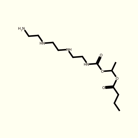 CCCC(=O)OC(C)OC(=O)NCCNCCNCCN